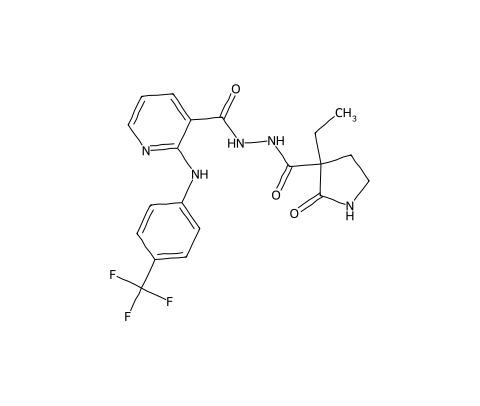 CCC1(C(=O)NNC(=O)c2cccnc2Nc2ccc(C(F)(F)F)cc2)CCNC1=O